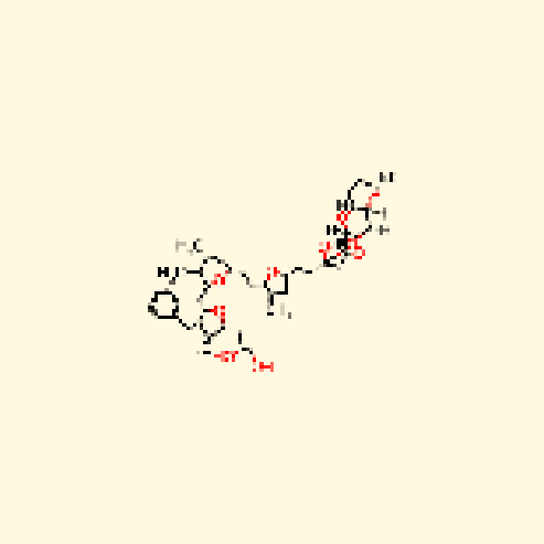 C=C1C[C@H](CC[C@@]23CC4OC5[C@@H](O2)[C@H]2O[C@@H](CC)CC[C@@H]2O[C@H]5[C@H]4O3)OC1CC[C@H]1C[C@@H](C)C(=C)C(C[C@@H]2O[C@H](C[C@H](O)CO)[C@H](C)[C@H]2Cc2ccccc2)O1